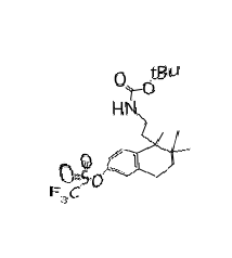 CC(C)(C)OC(=O)NCCC1(C)c2ccc(OS(=O)(=O)C(F)(F)F)cc2CCC1(C)C